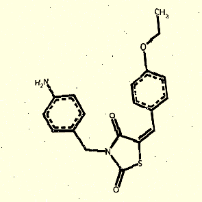 CCOc1ccc(C=C2SC(=O)N(Cc3ccc(N)cc3)C2=O)cc1